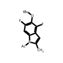 CC(=O)n1c(C)cc2c(F)c(OC(C)(C)C)c(F)cc21